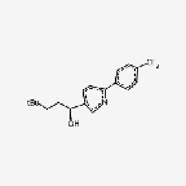 CC(C)(C)CC[C@H](O)c1ccc(-c2ccc(C(F)(F)F)cc2)nc1